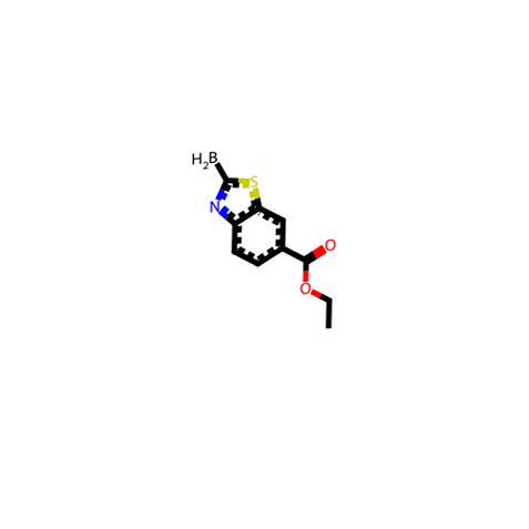 Bc1nc2ccc(C(=O)OCC)cc2s1